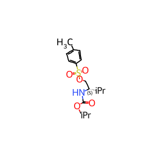 Cc1ccc(S(=O)(=O)OC[C@@H](NC(=O)OC(C)C)C(C)C)cc1